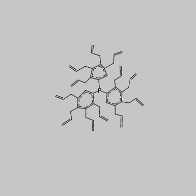 C=CCc1cc(P(c2cc(CC=C)c(CC=C)c(CC=C)c2CC=C)c2cc(CC=C)c(CC=C)c(CC=C)c2CC=C)c(CC=C)c(CC=C)c1CC=C